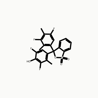 Cc1c(F)cc(C2(c3cc(F)c(O)c(F)c3C)OS(=O)(=O)c3ccccc32)c(C)c1F